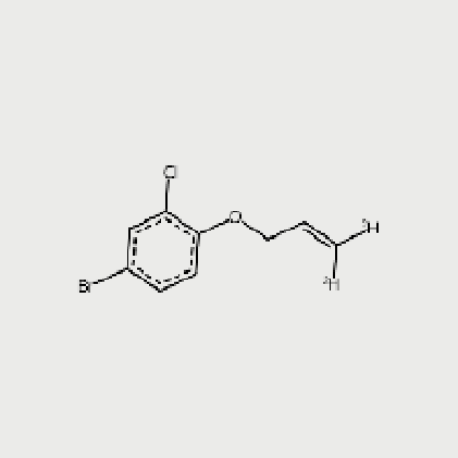 [2H]C([2H])=CCOc1ccc(Br)cc1Cl